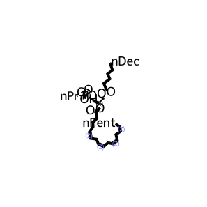 CCCCC/C=C\C/C=C\C/C=C\C/C=C\CCCC(=O)O[C@H](COC(=O)CCCCCCCCCCCCCCC)COP(=O)(O)OCCC